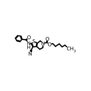 CCCCCCOC(=O)N1CCc2c(sc(NC(=O)c3ccccc3)c2C#N)C1